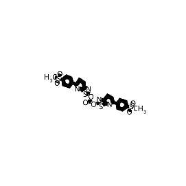 CS(=O)(=O)c1ccc(-c2ccc3nc(OC(=O)Oc4nc5ccc(-c6ccc(S(C)(=O)=O)cc6)nc5s4)sc3n2)cc1